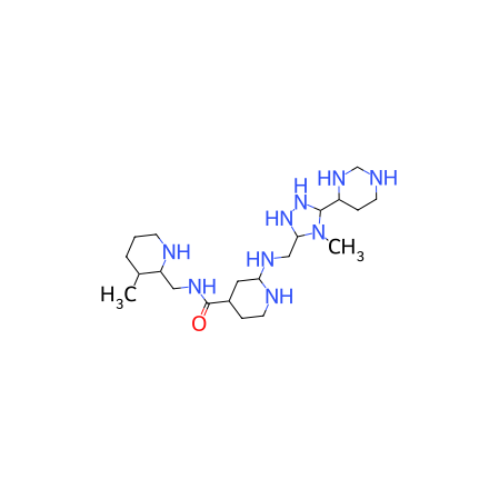 CC1CCCNC1CNC(=O)C1CCNC(NCC2NNC(C3CCNCN3)N2C)C1